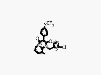 Cc1ccc[n+]2c(=O)c(-c3ccc(SC(F)(F)F)cc3)c(O)n(Cc3cnc(Cl)s3)c12